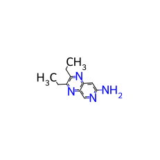 CCc1nc2cnc(N)cc2nc1CC